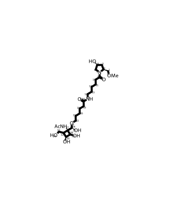 COC[C@@H]1C[C@@H](O)CN1C(=O)CCCCCNC(=O)CCCCCO[C@H](O)[C@@]1(NC(C)=O)C(O)[C@@H](O)C1CO